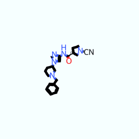 N#CN1CC[C@H](C(=O)Nc2cn(C3CCCN(Cc4ccccc4)C3)cn2)C1